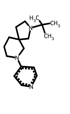 CC(C)(C)N1CCC2(CCCN(c3ccncc3)C2)C1